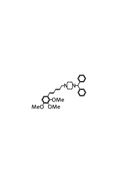 COc1ccc(/C=C/C=C/CN2CCN(C(c3ccccc3)c3ccccc3)CC2)c(OC)c1OC